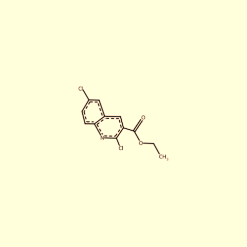 CCOC(=O)c1cc2cc(Cl)ccc2nc1Cl